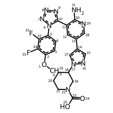 COc1ccc(-n2nnnc2-c2cc(-c3cnn(C4CCCN(C(=O)O)C4)c3)cnc2N)c(F)c1F